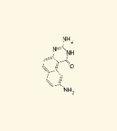 Nc1ccc2ccc3nc(N)[nH]c(=O)c3c2c1